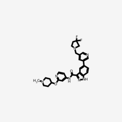 CN1CCC(Oc2cc(NC(=O)c3n[nH]c4ccc(-c5cncc(CN6CCC(F)(F)C6)c5)cc34)ccn2)CC1